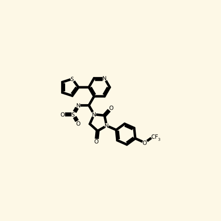 O=C1CN(C(N=S(=O)=O)c2ccncc2-c2cccs2)C(=O)N1c1ccc(OC(F)(F)F)cc1